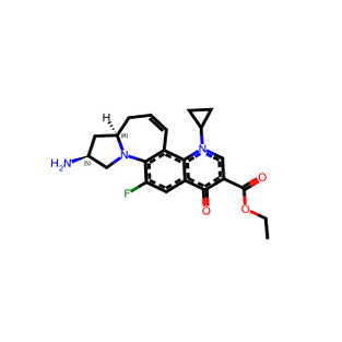 CCOC(=O)c1cn(C2CC2)c2c3c(c(F)cc2c1=O)N1C[C@@H](N)C[C@H]1CC=C3